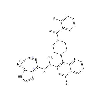 C=c1[nH]cn/c1=C(/N=C\N)NC(C)c1cc(Cl)c2cccnc2c1N1CCN(C(=O)c2ccccc2F)CC1